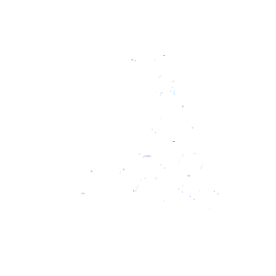 COc1ccc(-c2ccc3c(=O)n(-c4ccc(Cl)c5c(NS(C)(=O)=O)nn(C)c45)c([C@H](Cc4cc(F)cc(F)c4)NC(=O)Cn4nc(C(F)F)c5c4C(F)(F)[C@@H]4C[C@H]54)nc3c2)cc1